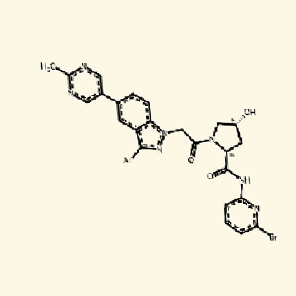 CC(=O)c1nn(CC(=O)N2C[C@H](O)C[C@H]2C(=O)Nc2cccc(Br)n2)c2ccc(-c3cnc(C)nc3)cc12